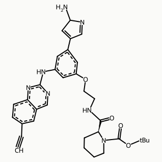 C#Cc1ccc2nc(Nc3cc(OCCNC(=O)[C@@H]4CCCCN4C(=O)OC(C)(C)C)cc(C4=CC(N)N=C4)c3)ncc2c1